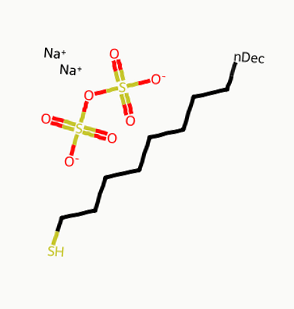 CCCCCCCCCCCCCCCCCCS.O=S(=O)([O-])OS(=O)(=O)[O-].[Na+].[Na+]